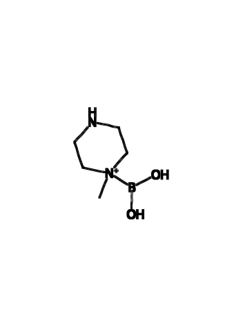 C[N+]1(B(O)O)CCNCC1